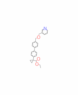 CCOC(=O)C1(c2ccc(-c3ccc(COCc4cccnc4)cc3)cc2)CC1